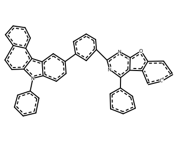 c1ccc(-c2nc(-c3cccc(-c4ccc5c(c4)c4c6ccccc6ccc4n5-c4ccccc4)c3)nc3oc4ccccc4c23)cc1